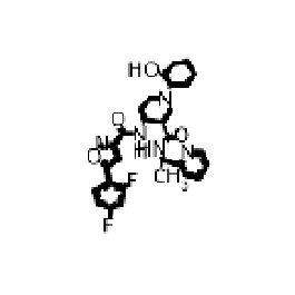 C[C@@H](NC(=O)[C@@H]1CN([C@H]2CCCC[C@@H]2O)CC[C@H]1NC(=O)c1cc(-c2ccc(F)cc2F)on1)c1ccccn1